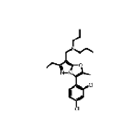 CCCN(CCC)Cc1c(CC)nn2c(-c3ccc(Cl)cc3Cl)c(C)oc12